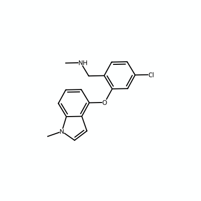 CNCc1ccc(Cl)cc1Oc1cccc2c1ccn2C